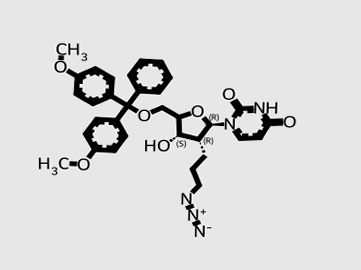 COc1ccc(C(OCC2O[C@@H](n3ccc(=O)[nH]c3=O)[C@H](CCCN=[N+]=[N-])[C@@H]2O)(c2ccccc2)c2ccc(OC)cc2)cc1